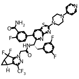 NC(=O)c1cc(-c2cc3sc(N4CCN(c5ccncc5)CC4)nc3nc2[C@H](Cc2cc(F)cc(F)c2)NC(=O)Cn2nc(C(F)(F)F)c3c2C(F)(F)C2C[C@H]32)ccc1F